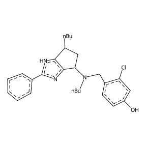 CCCCC1CC(N(CCCC)Cc2ccc(O)cc2Cl)c2nc(-c3ccccc3)[nH]c21